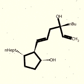 C=C[C@@](O)(C/C=C/[C@@H]1[C@@H](CCCCCCC)CC[C@H]1O)CCCC